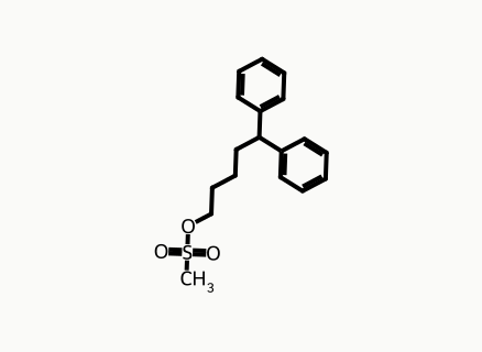 CS(=O)(=O)OCCCCC(c1ccccc1)c1ccccc1